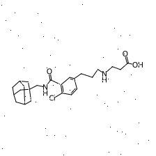 O=C(O)CCNCCCc1ccc(Cl)c(C(=O)NCC23CC4CC(CC(C4)C2)C3)c1